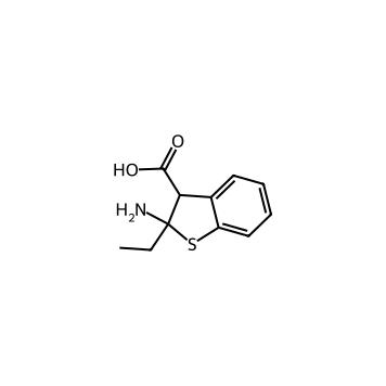 CCC1(N)Sc2ccccc2C1C(=O)O